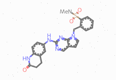 CNS(=O)(=O)c1ccccc1Cn1ccc2cnc(Nc3ccc4c(c3)CCC(=O)N4)nc21